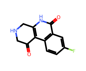 O=C1CNCc2[nH]c(=O)c3cc(F)ccc3c21